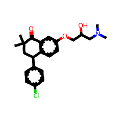 CN(C)CC(O)COc1ccc2c(c1)C(=O)C(C)(C)CC2c1ccc(Cl)cc1